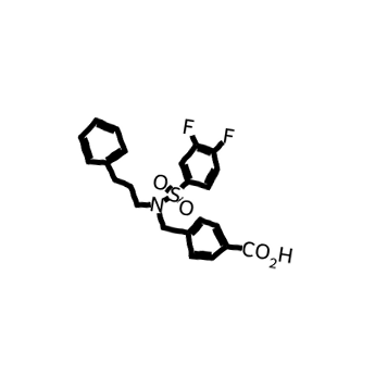 O=C(O)c1ccc(CN(CCCc2ccccc2)S(=O)(=O)c2ccc(F)c(F)c2)cc1